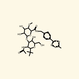 COC1C(C(=O)NCc2ccc(-c3nnc(C)nn3)cc2)OC(OC2C(O)C(CO)OC(C(C)(C)C)C2NC(C)=O)C(O)C1O